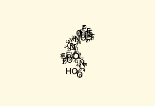 O=C(O)C1CCN(Cc2cc(CN3CCCC34CCN(C(=O)OC(C(F)(F)F)C(F)(F)F)CC4)cc(OC(F)(F)F)c2)C1